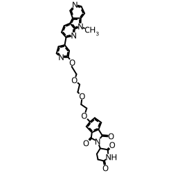 Cn1c2ccncc2c2ccc(-c3ccnc(OCCOCCOCCOc4ccc5c(c4)C(=O)N(C4CCC(=O)NC4=O)C5=O)c3)nc21